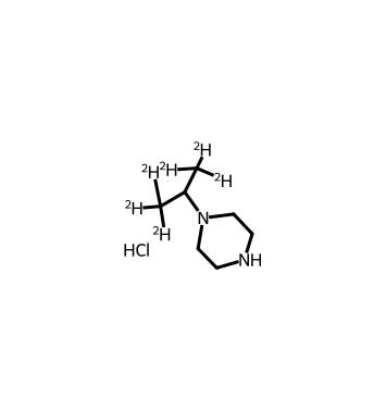 Cl.[2H]C([2H])([2H])C(N1CCNCC1)C([2H])([2H])[2H]